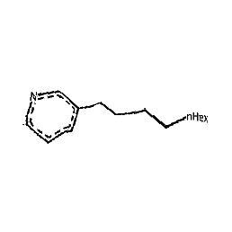 CCCCCCCCCCc1cc[c]nc1